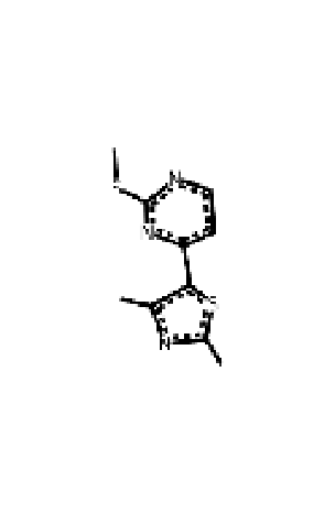 CSc1nccc(-c2sc(C)nc2C)n1